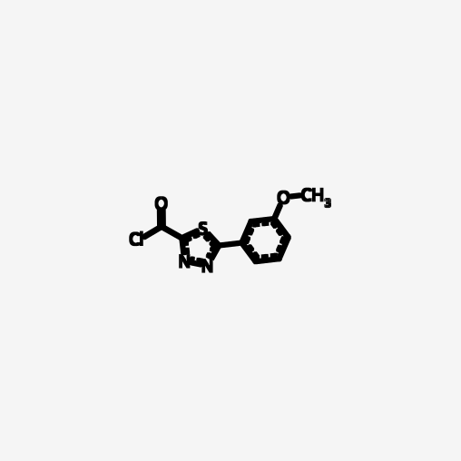 COc1cccc(-c2nnc(C(=O)Cl)s2)c1